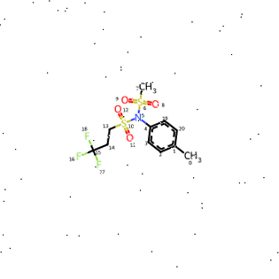 Cc1ccc(N(S(C)(=O)=O)S(=O)(=O)CCC(F)(F)F)cc1